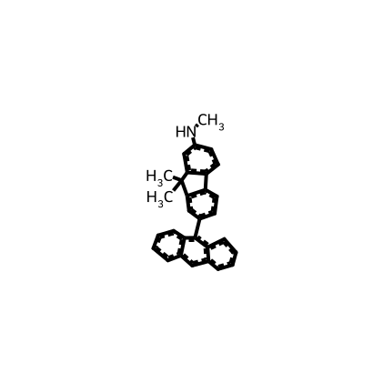 CNc1ccc2c(c1)C(C)(C)c1cc(-c3c4ccccc4cc4ccccc34)ccc1-2